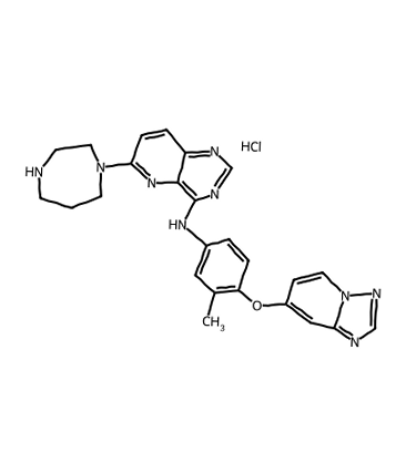 Cc1cc(Nc2ncnc3ccc(N4CCCNCC4)nc23)ccc1Oc1ccn2ncnc2c1.Cl